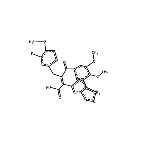 COc1ccc(C/C(C(=O)c2cc(OC)c(OC)c(OC)c2)=C(\C(=O)O)c2ccc3nsnc3c2)cc1F